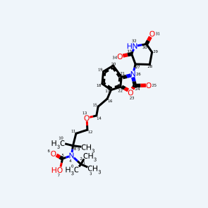 CC(C)(C)N(C(=O)O)C(C)(C)CCOCCCc1cccc2c1oc(=O)n2C1CCC(=O)NC1=O